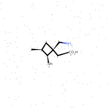 CCC[C@H]1[C@@H](C)C[C@]1(CN)CC(=O)O